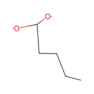 CCCCC([O])[O]